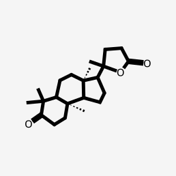 CC1(C2CCC3[C@@]2(C)CCC2C(C)(C)C(=O)CC[C@@]23C)CCC(=O)O1